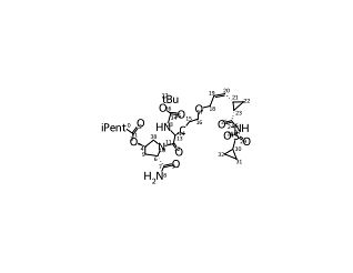 CCCC(C)C(=O)O[C@@H]1C[C@@H](C(N)=O)N(C(=O)[C@H](CCCOC/C=C\[C@@H]2C[C@@H]2C(=O)NS(=O)(=O)C2CC2)NC(=O)OC(C)(C)C)C1